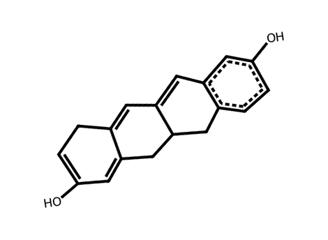 OC1=CCC2=CC3=Cc4cc(O)ccc4CC3CC2=C1